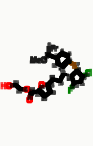 CCCC(OC)c1ccc(SC2C(Cl)CC(F)[C@@H]2CCCc2ccc(C(=O)OCCO)o2)cc1